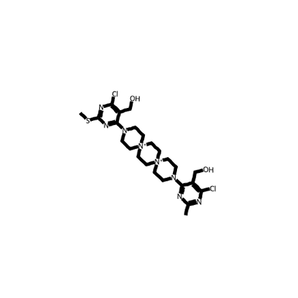 CSc1nc(Cl)c(CO)c(N2CC[N+]3(CC2)CC[N+]2(CCN(c4nc(C)nc(Cl)c4CO)CC2)CC3)n1